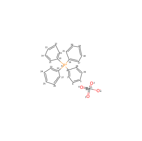 [O]=[Re](=[O])(=[O])[O-].c1ccc([P+](c2ccccc2)(c2ccccc2)c2ccccc2)cc1